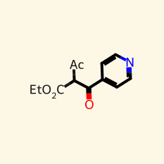 CCOC(=O)C(C(C)=O)C(=O)c1ccncc1